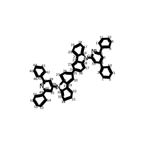 c1ccc(-c2cc(-c3ccccc3)nc(-n3c4ccccc4c4cc(-c5ccc6c(c5)c5ccccc5n6-c5cc(-c6ccccc6)nc(-c6ccccc6)c5)ccc43)c2)cc1